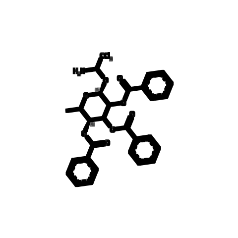 CC1O[C@@H](OC(N)C(Cl)(Cl)Cl)C(OC(=O)c2ccccc2)C(OC(=O)c2ccccc2)[C@H]1OC(=O)c1ccccc1